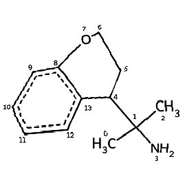 CC(C)(N)C1CCOc2ccccc21